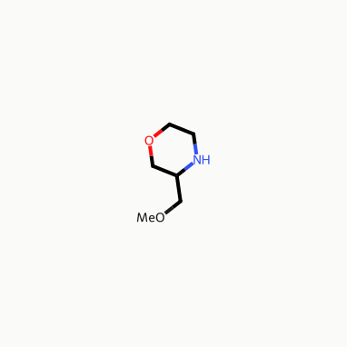 COCC1COCCN1